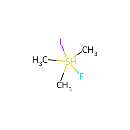 C[SH](C)(C)(F)I